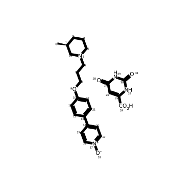 C[C@H]1CCCN(CCCOc2ccc(-c3cc[n+]([O-])cc3)cc2)C1.O=C(O)c1cc(=O)[nH]c(=O)[nH]1